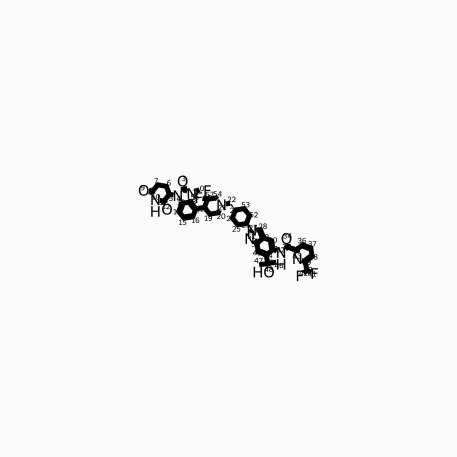 Cn1c(=O)n(C2CCC(=O)NC2=O)c2cccc(C3CCN(C[C@H]4CC[C@H](n5cc6cc(NC(=O)c7cccc(C(F)F)n7)c(C(C)(C)O)cc6n5)CC4)CC3(F)F)c21